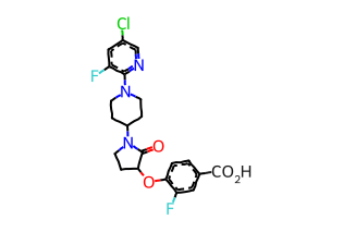 O=C(O)c1ccc(OC2CCN(C3CCN(c4ncc(Cl)cc4F)CC3)C2=O)c(F)c1